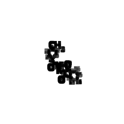 Cc1ccc(C(=O)NN=c2c(=O)c3ccccc3c2=O)cc1